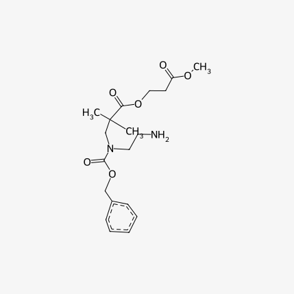 COC(=O)CCOC(=O)C(C)(C)CN(CCN)C(=O)OCc1ccccc1